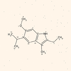 CCc1[nH]c2cc(OC)c(C(C)C)cc2c1C